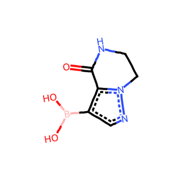 O=C1NCCn2ncc(B(O)O)c21